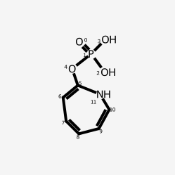 O=P(O)(O)OC1=CC=CC=CN1